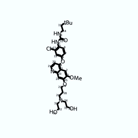 COc1cc2c(Oc3ccc(NC(=O)NCCC(C)(C)C)c(Cl)c3)ccnc2cc1OCCCN(CCO)CCO